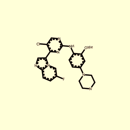 COc1cc(N2CC[N]CC2)ccc1Nc1ncc(Cl)c(-c2cnc3ccc(F)cn23)n1